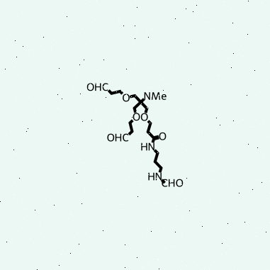 CNC(COCCC=O)(COCCC=O)COCCC(=O)NCCCNC=O